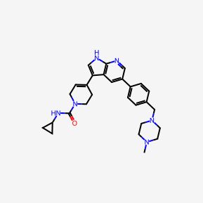 CN1CCN(Cc2ccc(-c3cnc4[nH]cc(C5=CCN(C(=O)NC6CC6)CC5)c4c3)cc2)CC1